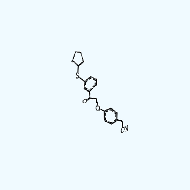 N#CCc1ccc(OCC(=O)c2cccc(SC3CCCC3)c2)cc1